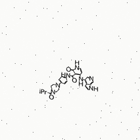 CC(C)C(=O)N1CCN(c2ccc(NC(=O)c3c(Nc4cncc5[nH]ccc45)cc[nH]c3=O)cc2)CC1